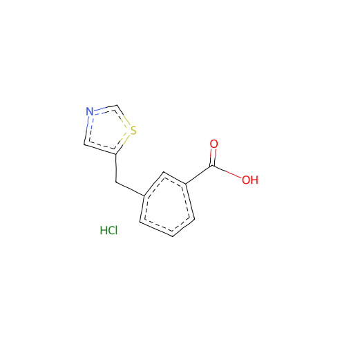 Cl.O=C(O)c1cccc(Cc2cncs2)c1